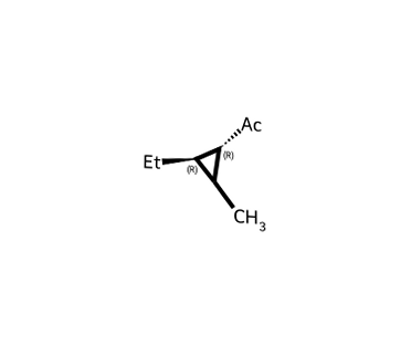 CC[C@@H]1C(C)[C@H]1C(C)=O